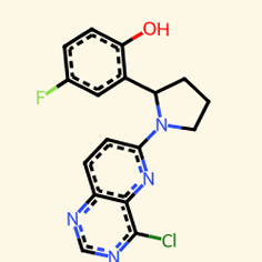 Oc1ccc(F)cc1C1CCCN1c1ccc2ncnc(Cl)c2n1